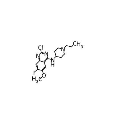 CCCN1CCC(Nc2nc(Cl)nc3cc(I)c(OC)cc23)CC1